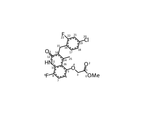 COC(=O)COc1ccc(F)c2[nH]c(=O)c(Cc3ccc(Cl)cc3F)c(C)c12